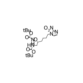 CC(C)(C)OC(=O)NCC(CCCCn1ccnc1[N+](=O)[O-])ONC(=O)OC(C)(C)C